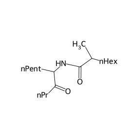 CCCCCCC(C)C(=O)NC(CCCCC)C(=O)CCC